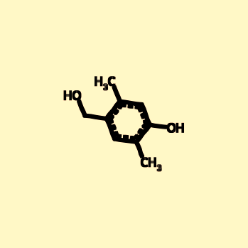 Cc1cc(CO)c(C)cc1O